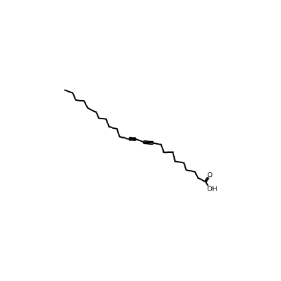 CCCCCCCCCCCC#CC#CCCCCCCCCC(=O)O